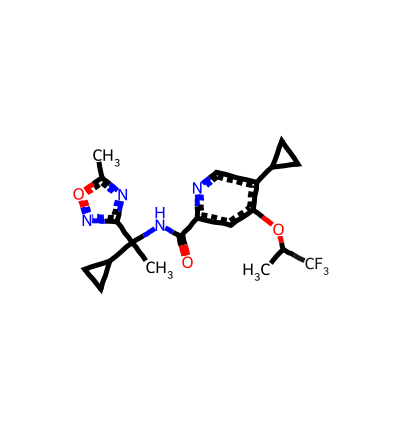 Cc1nc(C(C)(NC(=O)c2cc(OC(C)C(F)(F)F)c(C3CC3)cn2)C2CC2)no1